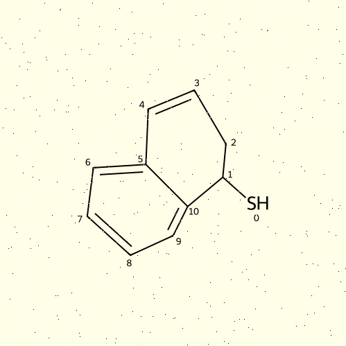 SC1CC=Cc2ccccc21